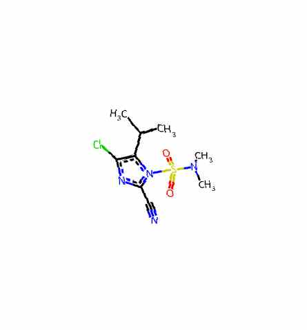 CC(C)c1c(Cl)nc(C#N)n1S(=O)(=O)N(C)C